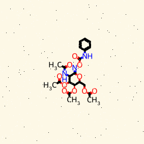 CC(=O)NC1/C(=N/OC(=O)Nc2ccccc2)OC(COC(C)=O)[C@@H](OC(C)=O)C1OC(C)=O